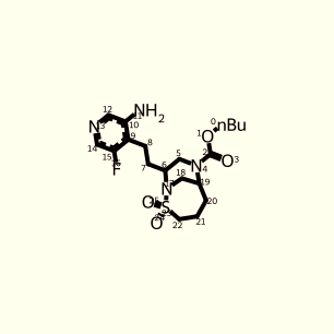 CCCCOC(=O)N1CC(CCc2c(N)cncc2F)N2CC1CCCS2(=O)=O